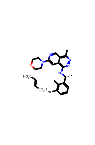 Cc1c(C#N)cccc1[C@@H](C)Nc1nnc(C)c2cnc(N3CCOCC3)cc12.O=C(O)/C=C/C(=O)O